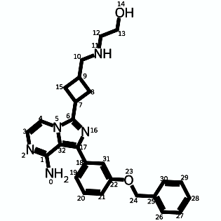 Nc1nccn2c(C3CC(CNCCO)C3)nc(-c3cccc(OCc4ccccc4)c3)c12